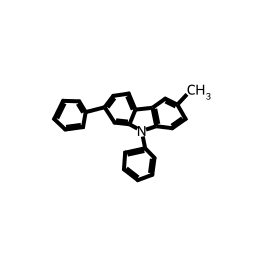 Cc1ccc2c(c1)c1ccc(-c3ccccc3)cc1n2-c1ccccc1